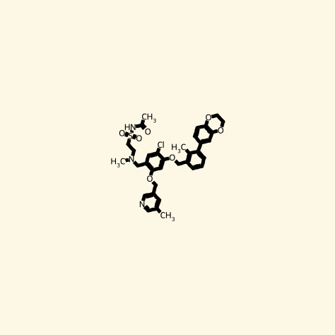 CC(=O)NS(=O)(=O)CCN(C)Cc1cc(Cl)c(OCc2cccc(-c3ccc4c(c3)OCCO4)c2C)cc1OCc1cncc(C)c1